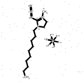 CCCCCCCCCCN1CC[N+](C)=C1N=[N+]=[N-].F[P-](F)(F)(F)(F)F